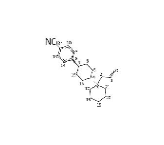 C=CCC1([C@H]2CC[C@H](c3ccc(C#N)cc3)CC2)CCCCC1